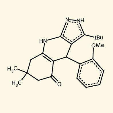 COc1ccccc1C1C2=C(CC(C)(C)CC2=O)Nc2n[nH]c(C(C)(C)C)c21